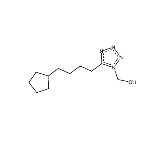 OCn1nnnc1CCCCC1CCCC1